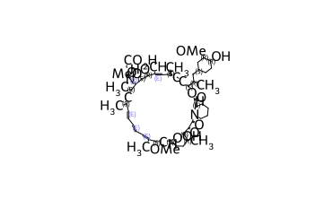 CO[C@H]1C[C@@H]2CC[C@@H](C)[C@@](O)(O2)C(=O)C(=O)N2CCCC[C@H]2C(=O)O[C@H]([C@H](C)C[C@@H]2CC[C@@H](O)[C@H](OC)C2)CC[C@H](C)/C=C(\C)[C@@H](O)[C@@H](OC)/C(=N\OCC(=O)O)[C@H](C)C[C@H](C)/C=C/C=C/C=C/1C